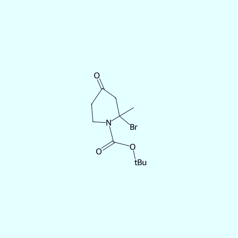 CC(C)(C)OC(=O)N1CCC(=O)CC1(C)Br